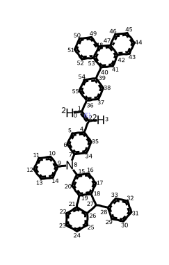 [2H]/C(=C(/[2H])c1ccc(N(c2ccccc2)c2ccc3c(c2)-c2ccccc2C3c2ccccc2)cc1)c1ccc(-c2cc3ccccc3c3ccccc23)cc1